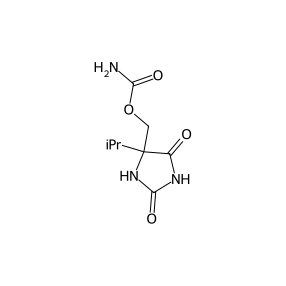 CC(C)C1(COC(N)=O)NC(=O)NC1=O